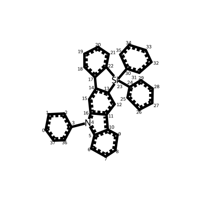 c1ccc(-n2c3ccccc3c3cc4c(cc32)-c2ccccc2[Si]4(c2ccccc2)c2ccccc2)cc1